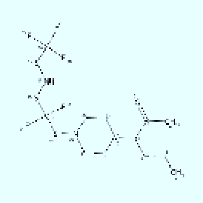 CCCC(C(C)=O)N1CCN(SC(F)(F)SNSC(F)(F)F)CC1